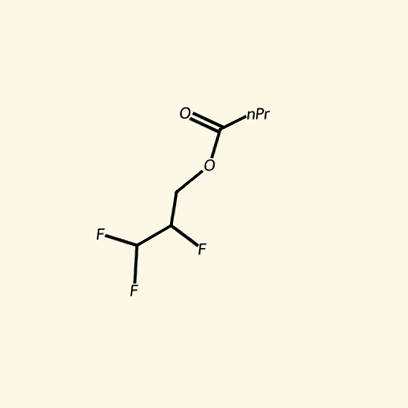 CCCC(=O)OCC(F)C(F)F